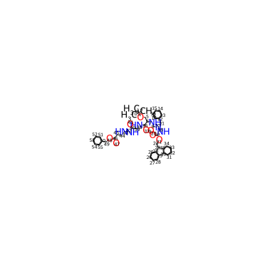 CC(C)(C)OCC(NC(=O)N(Cc1ccccc1)NC(=O)OCC1c2ccccc2-c2ccccc21)C(=O)NCC(=O)NNCCC(=O)OCc1ccccc1